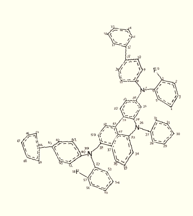 Fc1ccccc1N(c1ccc(-c2ccccc2)cc1)c1ccc2c(c1)N(c1ccccc1)c1cccc3c(N(c4ccc(-c5ccccc5)cc4)c4ccccc4F)ccc-2c13